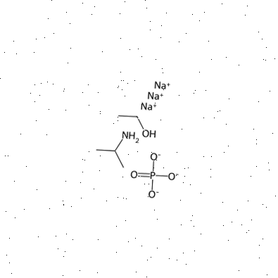 CC(C)N.CCO.O=P([O-])([O-])[O-].[Na+].[Na+].[Na+]